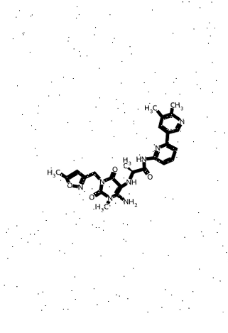 Cc1cc(Cn2c(=O)c(N[C@@H](C)C(=O)Nc3cccc(-c4cnc(C)c(C)c4)n3)c(N)n(C)c2=O)no1